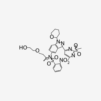 Cc1cc(-c2nn(C3CCCCO3)c3ccc(N([C@@H](C)CCOCCO)S(=O)(=O)c4ccccc4[N+](=O)[O-])cc23)nc(S(C)(=O)=O)n1